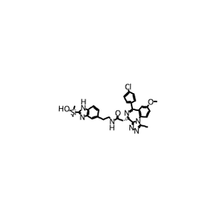 COc1ccc2c(c1)C(c1ccc(Cl)cc1)=N[C@@H](CC(=O)NCCc1ccc3[nH]c([Si](C)(C)O)nc3c1)c1nnc(C)n1-2